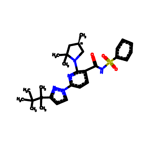 C[C@@H]1CN(c2nc(-n3ccc([Si](C)(C)C(C)(C)C)n3)ccc2C(=O)NS(=O)(=O)c2ccccc2)C(C)(C)C1